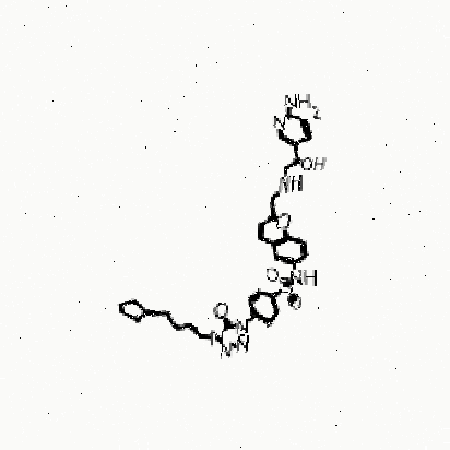 Nc1ccc(C(O)CNCC2CCc3cc(NS(=O)(=O)c4ccc(-n5nnn(CCCCC6CCCC6)c5=O)cc4)ccc3O2)cn1